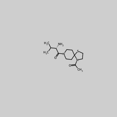 CC(=O)N1CCSC12CCN(C(=O)[C@@H](N)C(C)C)CC2